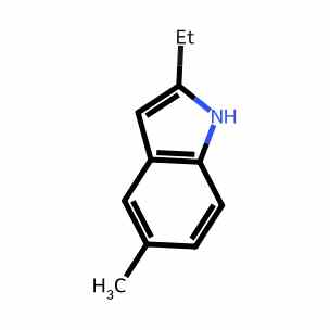 [CH2]Cc1cc2cc(C)ccc2[nH]1